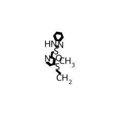 C=CCSc1ccnc(CSc2nc3ccccc3[nH]2)c1OC